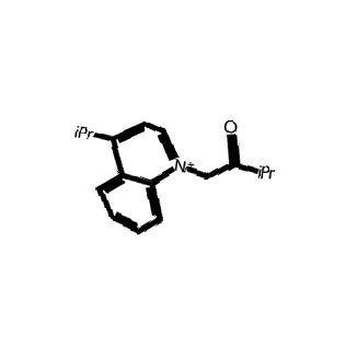 CC(C)C(=O)C[n+]1ccc(C(C)C)c2ccccc21